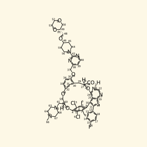 Cc1c(Cl)c2c(Cl)c(C)c1-c1c(-c3ccc(F)cc3)sc3ncnc(c13)O[C@@H](C(=O)O)Cc1cc(ccc1OCc1ccnc(N3CCC(OC[C@H]4COCCO4)CC3)n1)OC[C@@H](CN1CCN(C)CC1)O2